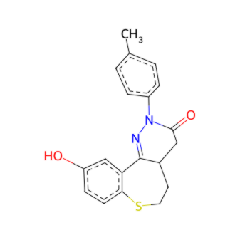 Cc1ccc(N2N=C3c4cc(O)ccc4SCCC3CC2=O)cc1